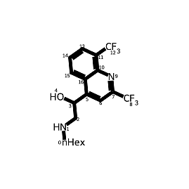 CCCCCCNCC(O)c1cc(C(F)(F)F)nc2c(C(F)(F)F)cccc12